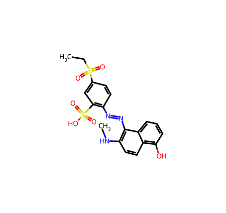 CCS(=O)(=O)c1ccc(/N=N/c2c(NC)ccc3c(O)cccc23)c(S(=O)(=O)O)c1